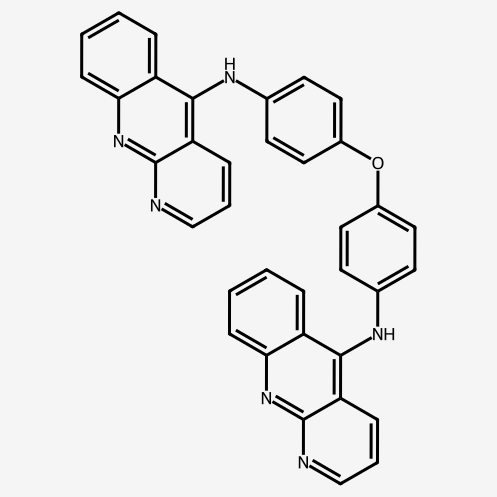 c1ccc2c(Nc3ccc(Oc4ccc(Nc5c6ccccc6nc6ncccc56)cc4)cc3)c3cccnc3nc2c1